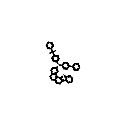 CC(C)(c1ccccc1)c1ccc(N(c2ccc(-c3ccccc3)cc2)c2ccc3ccc4ccc5c6ccccc6sc5c4c3c2)cc1